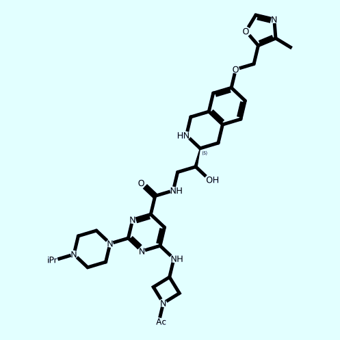 CC(=O)N1CC(Nc2cc(C(=O)NCC(O)[C@@H]3Cc4ccc(OCc5ocnc5C)cc4CN3)nc(N3CCN(C(C)C)CC3)n2)C1